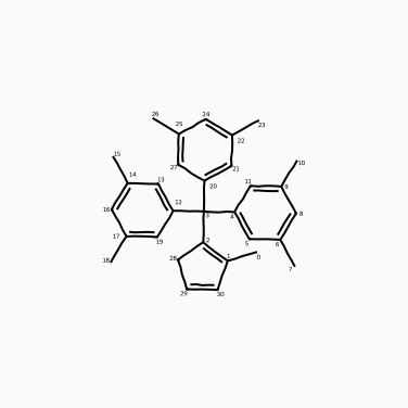 CC1=C(C(c2cc(C)cc(C)c2)(c2cc(C)cc(C)c2)c2cc(C)cc(C)c2)CC=C1